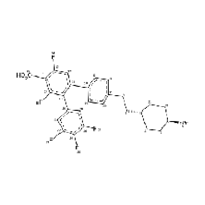 CCC[C@H]1CC[C@H](CCc2ccc(-c3cc(F)c(C(=O)O)c(F)c3-c3cc(F)c(F)c(F)c3)cc2)CC1